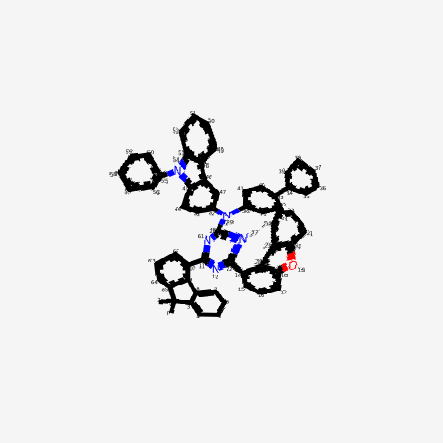 CC1(C)C2=CCCC=C2c2c(-c3nc(-c4cccc5oc6ccccc6c45)nc(N(c4ccc(-c5ccccc5)cc4)c4ccc5c(c4)c4ccccc4n5-c4ccccc4)n3)cccc21